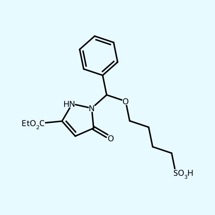 CCOC(=O)c1cc(=O)n(C(OCCCCS(=O)(=O)O)c2ccccc2)[nH]1